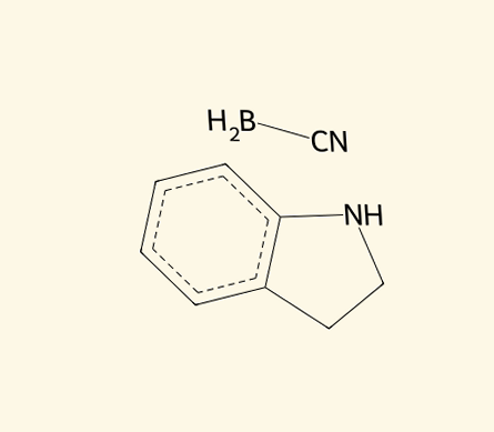 BC#N.c1ccc2c(c1)CCN2